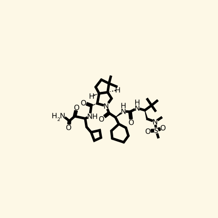 CN(C[C@@H](NC(=O)N[C@H](C(=O)N1C[C@H]2[C@H](CCC2(C)C)[C@H]1C(=O)NC(CC1CCC1)C(=O)C(N)=O)C1CCCCC1)C(C)(C)C)S(C)(=O)=O